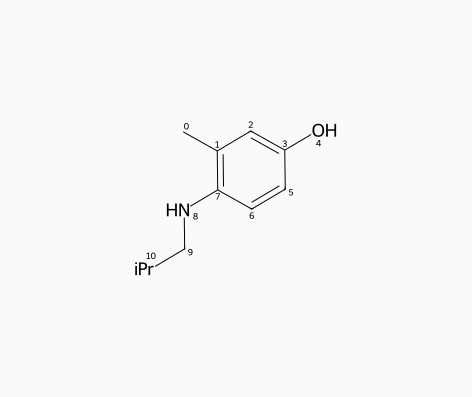 Cc1cc(O)ccc1NCC(C)C